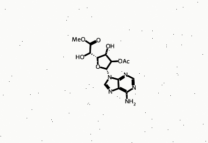 COC(=O)C(O)[C@H]1O[C@@H](n2cnc3c(N)ncnc32)C(OC(C)=O)C1O